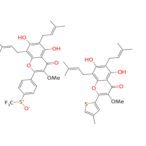 COc1c(-c2cc(C)cs2)oc2c(CC=C(C)C)c(O)c(CC=C(C)C)c(O)c2c1=O.COc1c(-c2ccc([S+]([O-])C(F)(F)F)cc2)oc2c(CC=C(C)C)c(O)c(CC=C(C)C)c(O)c2c1=O